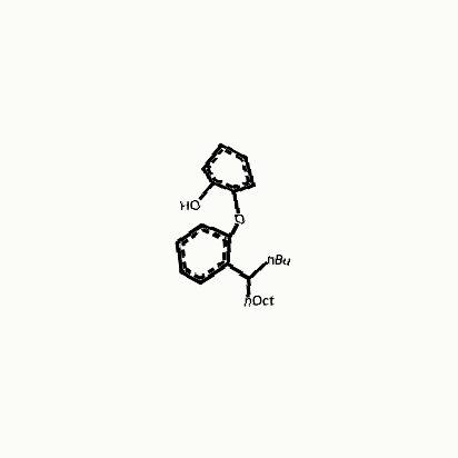 CCCCCCCCC(CCCC)c1ccccc1Oc1ccccc1O